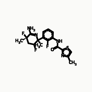 Cc1csc(C(=O)Nc2cccc([C@@]3(C)N=C(N)[C@](C)(F)CC3F)c2F)n1